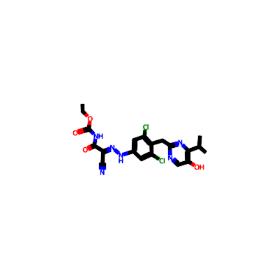 CCOC(=O)NC(=O)/C(C#N)=N/Nc1cc(Cl)c(Cc2ncc(O)c(C(C)C)n2)c(Cl)c1